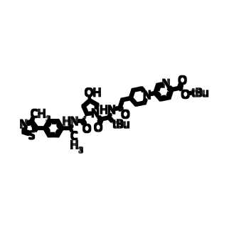 Cc1ncsc1-c1ccc([C@H](C)NC(=O)[C@@H]2C[C@@H](O)CN2C(=O)C(NC(=O)CC2CCN(c3ccc(C(=O)OC(C)(C)C)nc3)CC2)C(C)(C)C)cc1